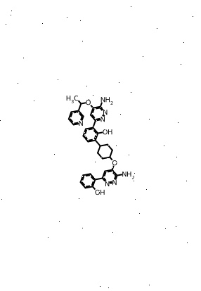 CC(Oc1cc(-c2cccc(C3CCC(Oc4cc(-c5ccccc5O)nnc4N)CC3)c2O)nnc1N)c1cccnc1